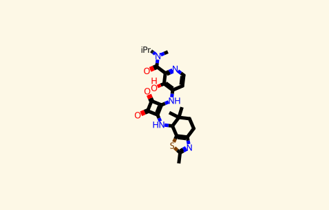 Cc1nc2c(s1)C(Nc1c(Nc3ccnc(C(=O)N(C)C(C)C)c3O)c(=O)c1=O)C(C)(C)CC2